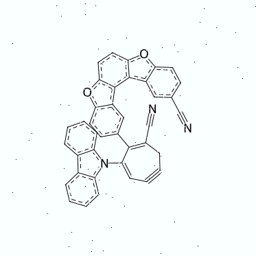 N#CC1=C(c2ccc3oc4ccc5oc6ccc(C#N)cc6c5c4c3c2)C(n2c3ccccc3c3ccccc32)=CC#CC1